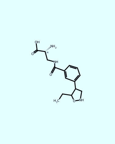 CCC1ONCC1c1cccc(C(=O)NC[C@@H](N)C(=O)O)c1